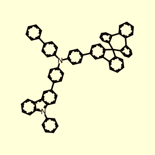 c1ccc(-c2ccc(N(c3ccc(-c4ccc5c(c4)-c4ccccc4C54c5ccccc5-c5ccccc5-c5ccccc54)cc3)c3ccc(-c4ccc5c(c4)c4ccccc4n5-c4ccccc4)cc3)cc2)cc1